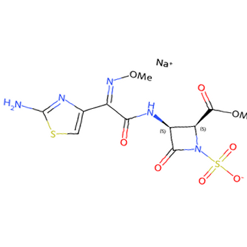 CON=C(C(=O)N[C@@H]1C(=O)N(S(=O)(=O)[O-])[C@@H]1C(=O)OC)c1csc(N)n1.[Na+]